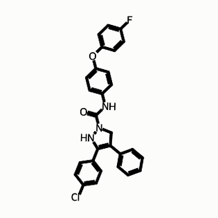 O=C(Nc1ccc(Oc2ccc(F)cc2)cc1)N1CC(c2ccccc2)=C(c2ccc(Cl)cc2)N1